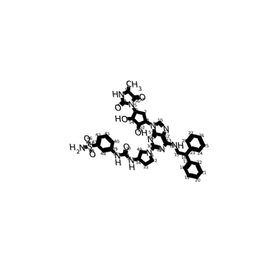 CC1NC(=O)N(C2CC(n3cnc4c(NCC(c5ccccc5)c5ccccc5)nc(N5CCC(NC(=O)Nc6cccc(S(N)(=O)=O)c6)C5)nc43)C(O)C2O)C1=O